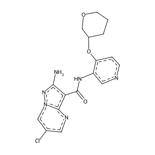 Nc1nn2cc(Cl)cnc2c1C(=O)Nc1cnccc1OC1CCCOC1